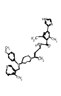 COc1ccc(N(Cc2cnccc2C)C2CCN(C(C)CCNC(=O)c3c(C)cc(-c4c[nH]cn4)cc3C)CC2)cc1